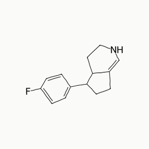 Fc1ccc(C2CCC3=CNCCC32)cc1